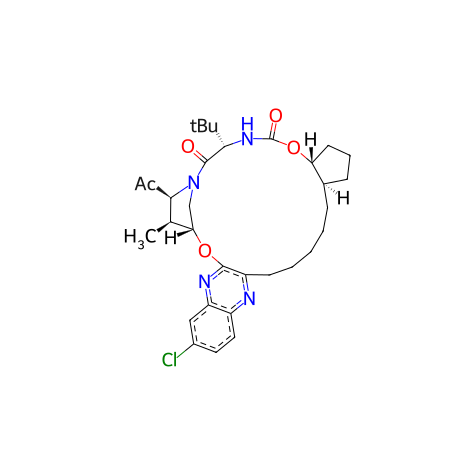 CC(=O)[C@@H]1[C@H](C)[C@@H]2CN1C(=O)[C@H](C(C)(C)C)NC(=O)O[C@@H]1CCC[C@H]1CCCCCc1nc3ccc(Cl)cc3nc1O2